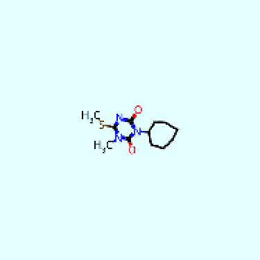 CSc1nc(=O)n(C2CCCCCC2)c(=O)n1C